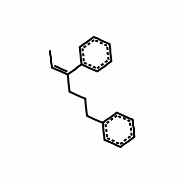 C[C]=C(CCCc1ccccc1)c1ccccc1